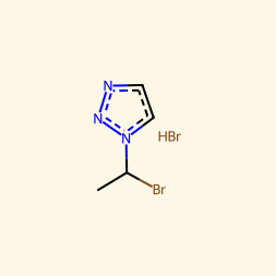 Br.CC(Br)n1ccnn1